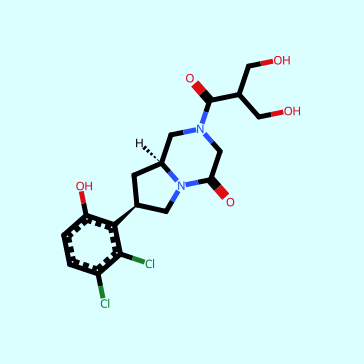 O=C(C(CO)CO)N1CC(=O)N2C[C@@H](c3c(O)ccc(Cl)c3Cl)C[C@H]2C1